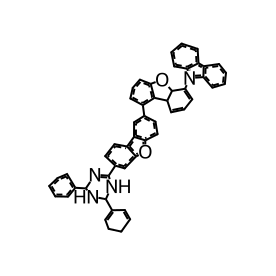 C1=CC2c3c(cccc3-c3ccc4oc5cc(C6=NC(c7ccccc7)NC(C7=CCCC=C7)N6)ccc5c4c3)OC2C(n2c3ccccc3c3ccccc32)=C1